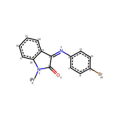 CC(C)N1C(=O)C(=Nc2ccc(Br)cc2)c2ccccc21